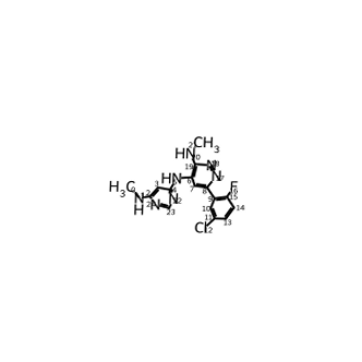 CNc1cc(Nc2cc(-c3cc(Cl)ccc3F)nnc2NC)ncn1